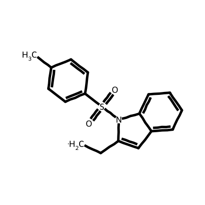 [CH2]Cc1cc2ccccc2n1S(=O)(=O)c1ccc(C)cc1